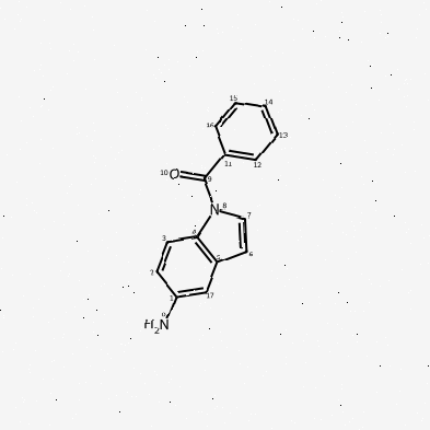 Nc1ccc2c(ccn2C(=O)c2ccccc2)c1